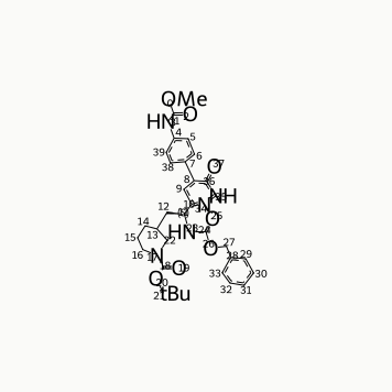 COC(=O)Nc1ccc(-c2cc([C@H](CC3CCCN(C(=O)OC(C)(C)C)C3)NC(=O)OCc3ccccc3)n[nH]c2=O)cc1